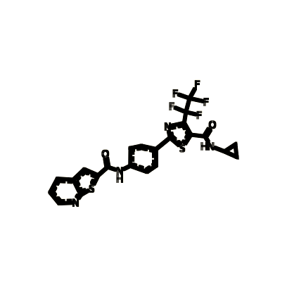 O=C(Nc1ccc(-c2nc(C(F)(F)C(F)(F)F)c(C(=O)NC3CC3)s2)cc1)c1cc2cccnc2s1